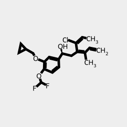 C=C/C(C)=C(C[C@H](O)c1ccc(OC(F)F)c(OCC2CC2)c1)\C(Cl)=C/C